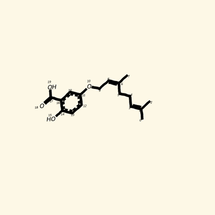 CC(C)=CCCC(C)=CCOc1ccc(O)c(C(=O)O)c1